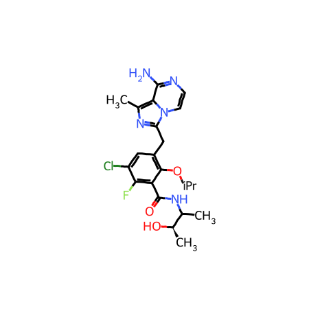 Cc1nc(Cc2cc(Cl)c(F)c(C(=O)NC(C)[C@@H](C)O)c2OC(C)C)n2ccnc(N)c12